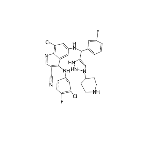 N#Cc1cnc2c(Cl)cc(NC(C3=CN(C4CCNCC4)NN3)c3cccc(F)c3)cc2c1Nc1ccc(F)c(Cl)c1